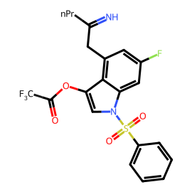 CCCC(=N)Cc1cc(F)cc2c1c(OC(=O)C(F)(F)F)cn2S(=O)(=O)c1ccccc1